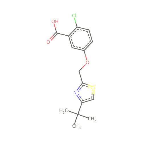 CC(C)(C)c1csc(COc2ccc(Cl)c(C(=O)O)c2)n1